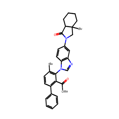 CCC(C)C12CCCCC1C(=O)N(c1ccc3c(c1)ncn3-c1c(C(C)(C)C)ccc(-c3ccccc3)c1C(=O)OC)C2